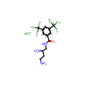 Cl.NCCC(N)CNC(=O)c1cc(C(F)(F)F)cc(C(F)(F)F)c1